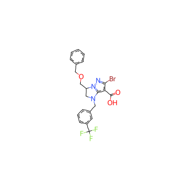 O=C(O)c1c(Br)nn2c1N(Cc1cccc(C(F)(F)F)c1)CC2COCc1ccccc1